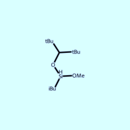 CCC(C)[SiH](OC)OC(C(C)(C)C)C(C)(C)C